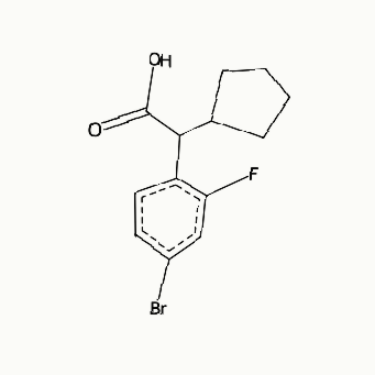 O=C(O)C(c1ccc(Br)cc1F)C1CCCC1